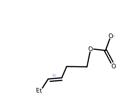 CC/C=C/CCOC([O])=O